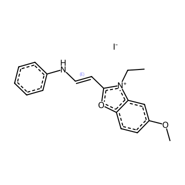 CC[n+]1c(/C=C/Nc2ccccc2)oc2ccc(OC)cc21.[I-]